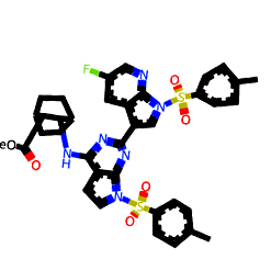 COC(=O)C1C2CCC(CC2)C1Nc1nc(-c2cn(S(=O)(=O)c3ccc(C)cc3)c3ncc(F)cc23)nc2c1ccn2S(=O)(=O)c1ccc(C)cc1